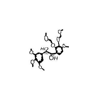 COCOc1c(OC)ccc([C@H](O)[C@@H](O)c2cc(OC)c(OC)c(OC)c2)c1OCOC